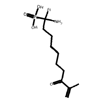 C=C(C)C(=O)CCCCCCC(N)(CC)P(=O)(O)O